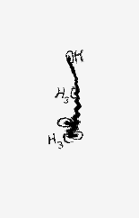 CC(=O)CCC(=O)CCC/C=C/CC/C(C)=C/CCC#CCO